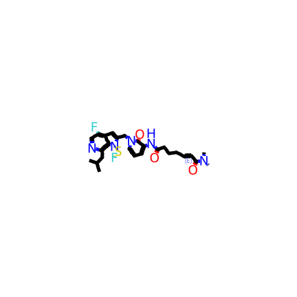 CC(C)Cc1ncc(F)c2cc(Cn3cccc(NC(=O)CCC/C=C/C(=O)N(C)C)c3=O)n(SF)c12